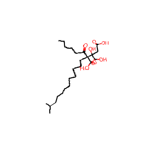 CCCCCC(=O)C(CCCCCCCCCCC(C)C)(C(=O)O)C(O)(CC(=O)O)C(=O)O